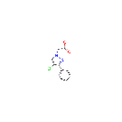 CC.O=C(O)Cn1cc(Cl)c(-c2ccccc2)n1